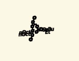 CCCCCCCCC1(CCCCCCCC)c2cc(-c3ccccc3)ccc2-c2ccc(-c3ccc4c(c3)/C(=C\c3ccc(N(c5ccccc5)c5ccc(OCC(CC)CCCC)cc5)cc3)c3cc(-c5ccccc5)ccc3-4)cc21